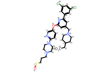 O=[S+]CCCN1CCN(c2ccc(Oc3cc(CN4CCC(CC(=O)O)CC4)cc(-c4cc(Cl)cc(Cl)c4)n3)cn2)CC1